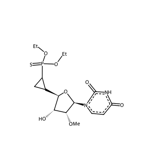 CCOP(=S)(OCC)C1CC1[C@H]1O[C@@H](n2ccc(=O)[nH]c2=O)[C@H](OC)[C@@H]1O